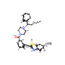 COCC(c1ccccc1)N1CCN(C(=O)c2cccc(-c3nc4ccc(OC)cc4s3)c2)CC1